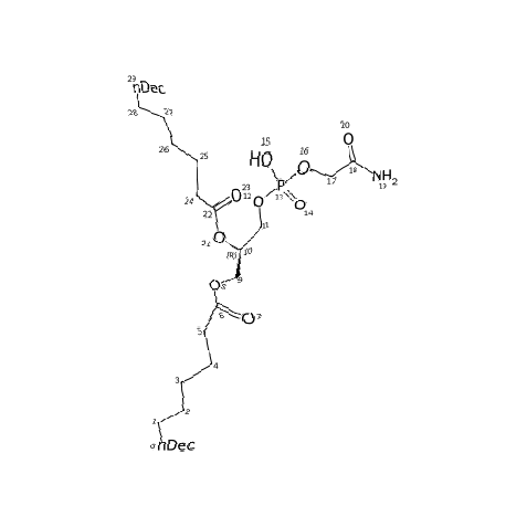 CCCCCCCCCCCCCCCC(=O)OC[C@H](COP(=O)(O)OCC(N)=O)OC(=O)CCCCCCCCCCCCCCC